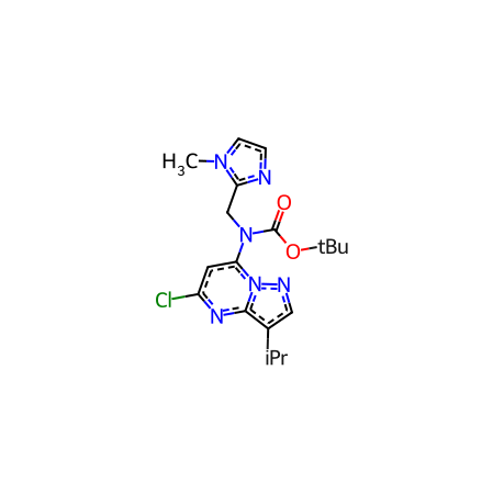 CC(C)c1cnn2c(N(Cc3nccn3C)C(=O)OC(C)(C)C)cc(Cl)nc12